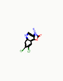 O=c1[nH]c2cnc3cc(Cl)c(Cl)cc3c2o1